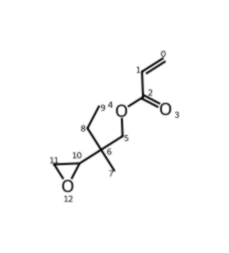 C=CC(=O)OCC(C)(CC)C1CO1